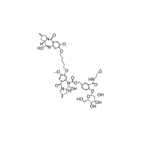 C=C1C[C@H]2C(O)=Nc3cc(OCCCCCOc4cc5c(cc4OC)C(=O)N4CC(=C)C[C@H]4C(O)N5C(=O)OCc4ccc(O[C@@H]5O[C@H](CO)[C@H](O)[C@H](O)[C@H]5O)c(C(=O)NCCOC)c4)c(OC)cc3C(=O)N2C1